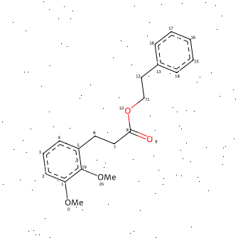 COc1cccc(CCC(=O)OCCc2ccccc2)c1OC